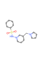 O=S(=O)(N[n+]1cccc(Cn2cccc2)c1)c1ccccc1